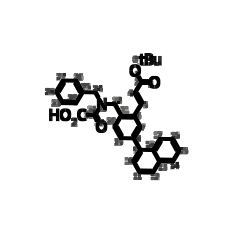 CC(C)(C)OC(=O)/C=C/c1cc(-c2cccc3ccccc23)ccc1CN(Cc1ccccc1)C(=O)C(=O)O